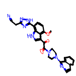 COc1ccc(-c2nc(CC#N)n[nH]2)c2[nH]cc(C(=O)C(=O)N3CCN(c4nccc5ccccc45)CC3)c12